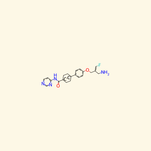 NCC(=CF)COc1ccc(C23CCC(C(=O)Nc4ccncn4)(CC2)CC3)cc1